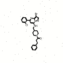 O=C(CCc1ccccc1)N1CCC(CNc2cc(-c3ccccc3Cl)nc3c(Br)cnn23)CC1